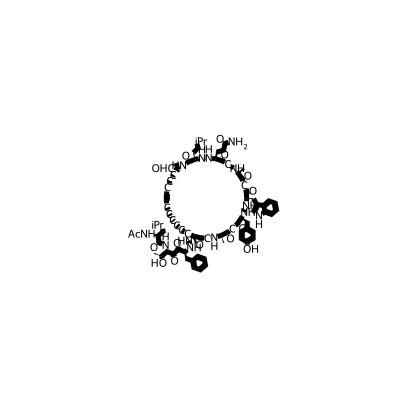 CC(=O)N[C@@H](CC(C)C)C(=O)N[C@H](C(=O)C(=O)[C@H](Cc1ccccc1)NN[C@]1(C)CCCCCC/C=C\CCC[C@@](C)(C=O)NC(=O)[C@H](CCC(C)C)NN[C@@H](CCC(N)=O)C(=O)CN[C@@H](C)C(=O)CC(=O)[C@H](Cc2c[nH]c3ccccc23)NN[C@@H](Cc2ccc(O)cc2)C(=O)CC(=O)[C@H](C)NCC1=O)[C@@H](C)O